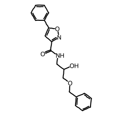 O=C(NCC(O)COCc1ccccc1)c1cc(-c2ccccc2)on1